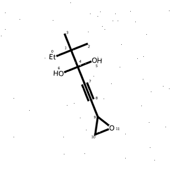 CCC(C)(C)C(O)(O)C#CC1CO1